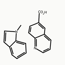 Cn1ccc2ccccc21.O=C(O)c1ccc2ncccc2c1